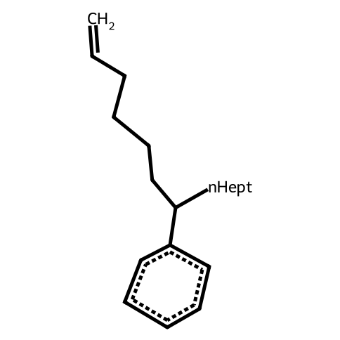 C=CCCCCC(CCCCCCC)c1ccccc1